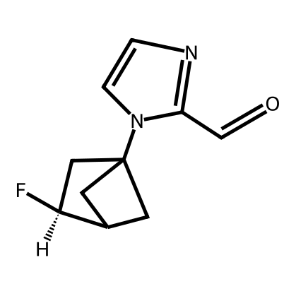 O=Cc1nccn1C12CC(C1)[C@@H](F)C2